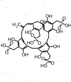 C=C1/C=C(\C(O)=C(/CO)CS(=O)(=O)O)Cc2cc(c(O)c(CS(=O)(=O)O)c2O)Cc2cc(c(O)c(CS(=O)(=O)O)c2O)Cc2cc(c(O)c(CS(=O)(=O)O)c2O)C1